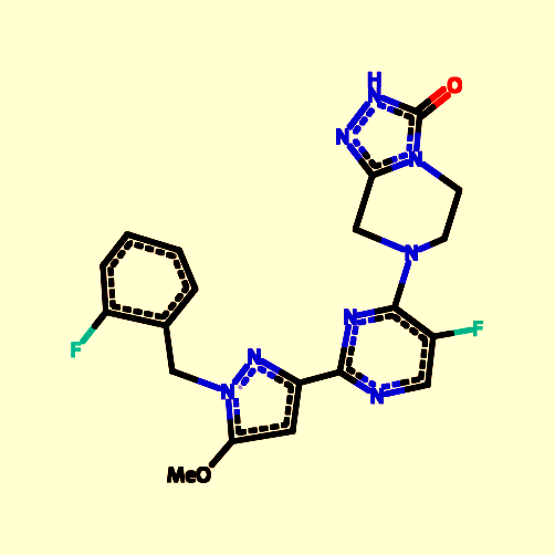 COc1cc(-c2ncc(F)c(N3CCn4c(n[nH]c4=O)C3)n2)nn1Cc1ccccc1F